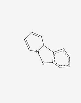 [C]1=[C]C2c3ccccc3SN2C=C1